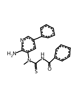 CN(C(=S)NC(=O)c1ccccc1)c1cc(-c2ccccc2)cnc1N